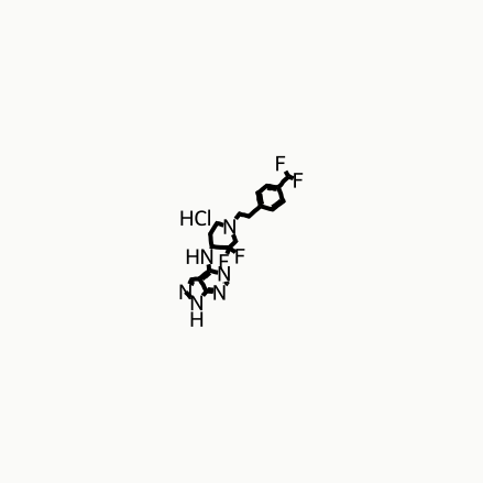 Cl.FC(F)c1ccc(CCN2CC[C@H](Nc3ncnc4[nH]ncc34)C(F)(F)C2)cc1